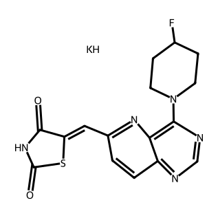 O=C1NC(=O)/C(=C/c2ccc3ncnc(N4CCC(F)CC4)c3n2)S1.[KH]